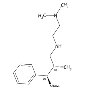 [CH2-][NH2+][C@@H](c1ccccc1)[C@@H](C)CNCCN(C)C